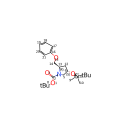 CC(C)(C)OC(=O)N1C[C@@H](O[Si](C)(C)C(C)(C)C)C[C@@H]1COc1ccccc1